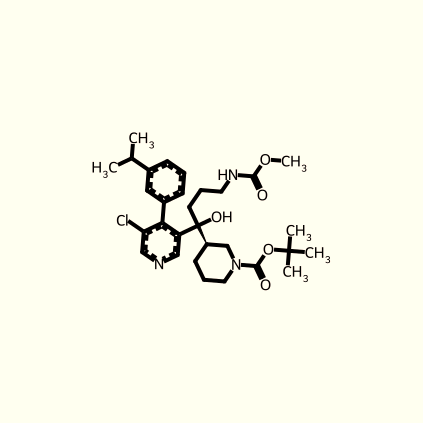 COC(=O)NCCCC(O)(c1cncc(Cl)c1-c1cccc(C(C)C)c1)[C@@H]1CCCN(C(=O)OC(C)(C)C)C1